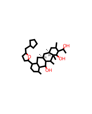 CC(O)C1C(C)C[C@]2(C)C[C@]3(C)CC4C(C5CCC(CC6CCCC6)O5)CCC(C)C4C(O)C3C(C)C2(C)C1O